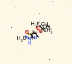 CN1Nc2ncc(B3OC(C)(C)C(C)(C)O3)cc2[S+]1[O-]